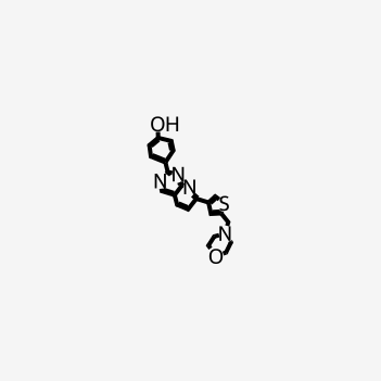 Oc1ccc(-c2ncc3ccc(-c4csc(CN5CCOCC5)c4)nc3n2)cc1